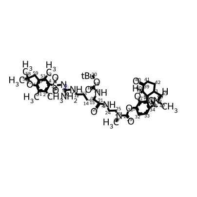 Cc1c(C)c(S(=O)(=O)/N=C(\N)NCCC[C@H](NC(=O)OC(C)(C)C)C(=O)NCCN(C)C(=O)Oc2ccc3c4c2O[C@H]2C(=O)CCC5[C@@H](C3)N(C)CC[C@@]452)c(C)c2c1OC(C)(C)C2